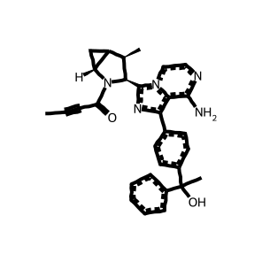 CC#CC(=O)N1[C@@H]2CC2[C@@H](C)[C@H]1c1nc(-c2ccc(C(C)(O)c3ccccc3)cc2)c2c(N)nccn12